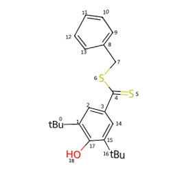 CC(C)(C)c1cc(C(=S)SCc2ccccc2)cc(C(C)(C)C)c1O